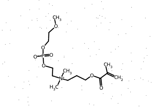 C=C(C)C(=O)OCCC[N+](C)(C)CCOP(=O)([O-])OCCOC